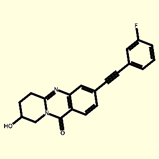 O=c1c2ccc(C#Cc3cccc(F)c3)cc2nc2n1CC(O)CC2